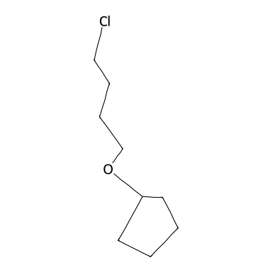 ClCCCCOC1CCCC1